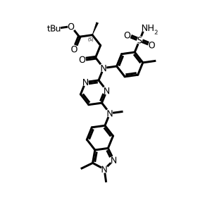 Cc1ccc(N(C(=O)C[C@H](C)C(=O)OC(C)(C)C)c2nccc(N(C)c3ccc4c(C)n(C)nc4c3)n2)cc1S(N)(=O)=O